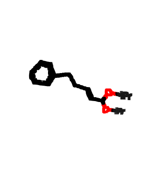 CC(C)OC(/C=C/CCc1ccccc1)OC(C)C